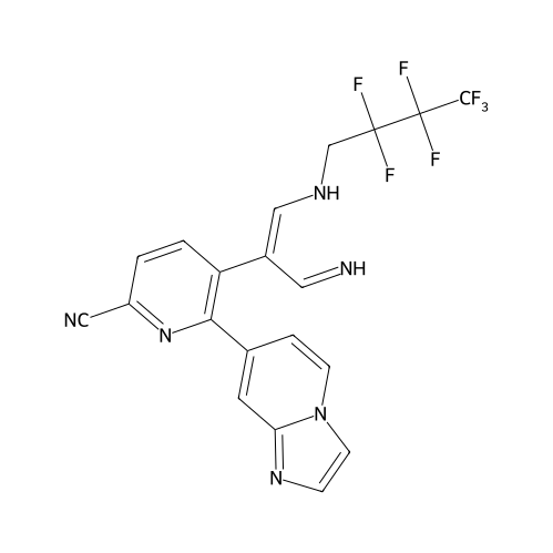 N#Cc1ccc(/C(C=N)=C/NCC(F)(F)C(F)(F)C(F)(F)F)c(-c2ccn3ccnc3c2)n1